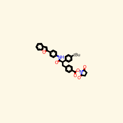 CC(C)(C)c1ccc(C(Cc2ccc(C(=O)ON3C(=O)CCC3=O)cc2)C(=O)Nc2ccc(-c3cc4ccccc4o3)cc2)cc1